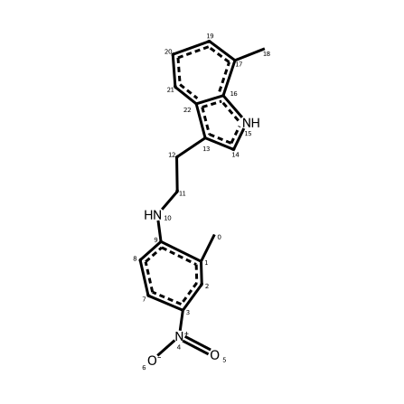 Cc1cc([N+](=O)[O-])ccc1NCCc1c[nH]c2c(C)cccc12